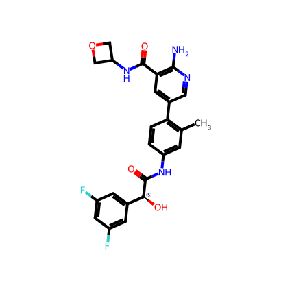 Cc1cc(NC(=O)[C@@H](O)c2cc(F)cc(F)c2)ccc1-c1cnc(N)c(C(=O)NC2COC2)c1